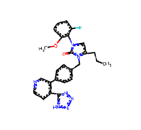 CCCc1cn(-c2c(F)cccc2OC)c(=O)n1Cc1ccc(-c2cnccc2-c2nnn[nH]2)cc1